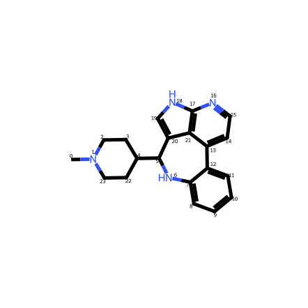 CN1CCC(C2Nc3ccccc3-c3ccnc4[nH]cc2c34)CC1